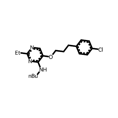 CCCCNc1nc(CC)ncc1OCCCc1ccc(Cl)cc1